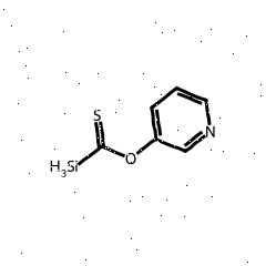 [SiH3]C(=S)Oc1cccnc1